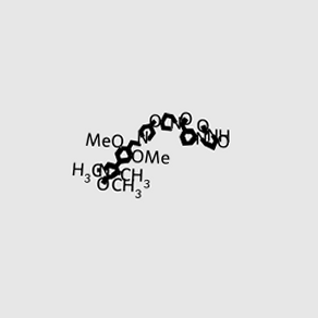 COc1cc(-c2cn(C)c(=O)c(C)c2C)cc(OC)c1CCN1CCC(OC2CCN(C(=O)c3cccc(-n4ccc(=O)[nH]c4=O)c3)CC2)CC1